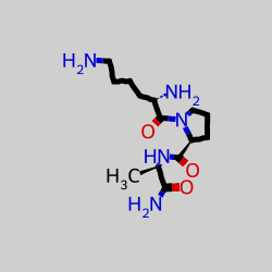 C[C@@H](NC(=O)[C@@H]1CCCN1C(=O)[C@@H](N)CCCCN)C(N)=O